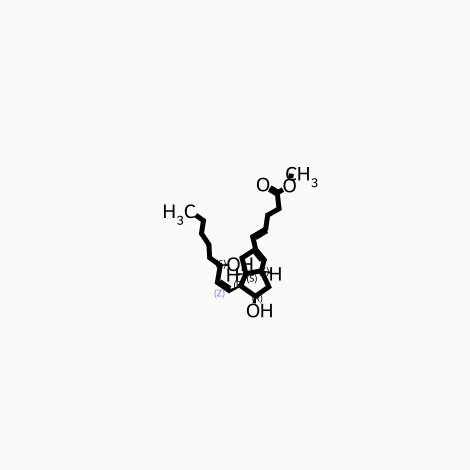 CCCCC[C@H](O)/C=C\[C@H]1[C@H]2CC(C=CCCC(=O)OC)=C[C@H]2C[C@H]1O